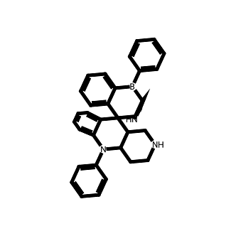 c1ccc(B2c3ccccc3C3(c4ccccc4N(c4ccccc4)C4CCNCC43)C3NCCCC23)cc1